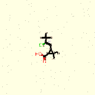 CC(C)(C)/C(Cl)=C/C1C(C(=O)O)C1(C)C